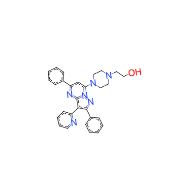 OCCN1CCN(c2cc(-c3ccccc3)nc3c(-c4ccccn4)c(-c4ccccc4)nn23)CC1